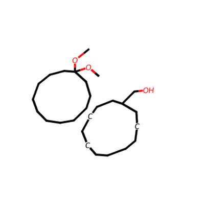 COC1(OC)CCCCCCCCCCC1.OCC1CCCCCCCCCCC1